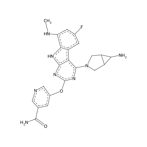 CNc1cc(F)cc2c1[nH]c1nc(Oc3cncc(C(N)=O)c3)nc(N3CC4C(N)C4C3)c12